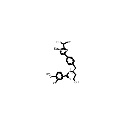 CCn1cc(-c2ccc(C[C@@H](CCO)NC(=O)c3ccc(OC(C)C)c(Cl)c3)cc2)nc1C(O)C(C)C